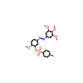 COc1ccc(/N=N/c2cc(OC)c(OC)c(OC)c2)cc1OS(=O)(=O)c1ccc(C)cc1